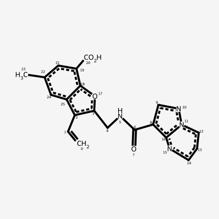 C=Cc1c(CNC(=O)c2cnn3cccnc23)oc2c(C(=O)O)cc(C)cc12